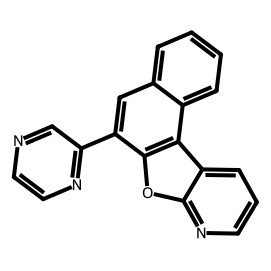 c1ccc2c(c1)cc(-c1cnccn1)c1oc3ncccc3c12